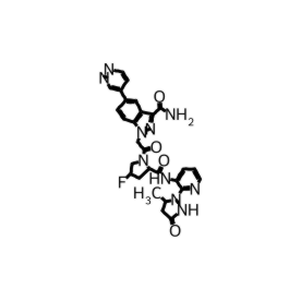 CC1CC(=O)NN1c1ncccc1NC(=O)C1CC(F)CN1C(=O)Cn1nc(C(N)=O)c2cc(-c3ccnnc3)ccc21